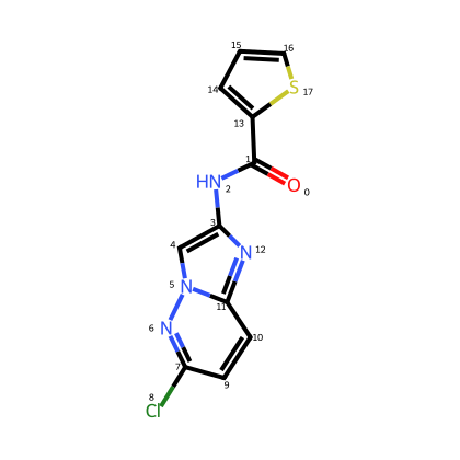 O=C(Nc1cn2nc(Cl)ccc2n1)c1cccs1